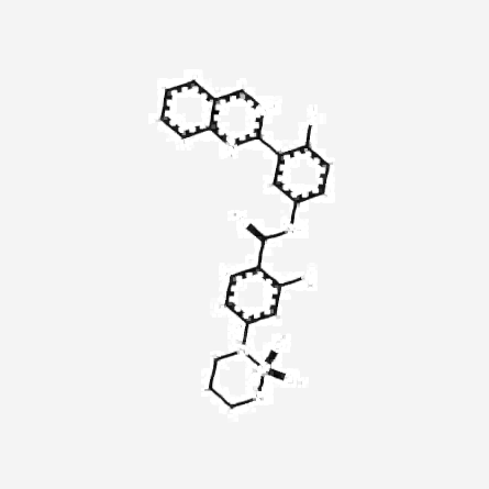 O=C(Nc1ccc(Cl)c(-c2ncc3ccccc3n2)c1)c1ccc(N2CCCNS2(=O)=O)cc1Cl